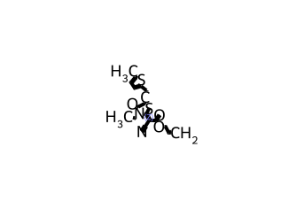 C=CCOC(=O)/C(C#N)=c1\sc(=C=Cc2ccc(C)s2)c(=O)n1CC